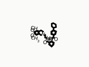 COc1cc2c(cc1OC)CN(CCNC(=O)c1ccccc1NC(=O)c1ccc(C3CCCCC3)cc1)CC2